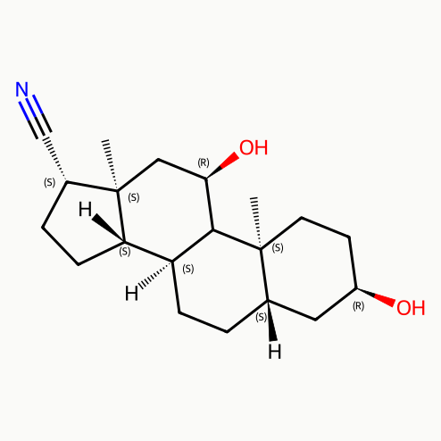 C[C@]12C[C@@H](O)C3[C@@H](CC[C@H]4C[C@H](O)CC[C@]34C)[C@@H]1CC[C@@H]2C#N